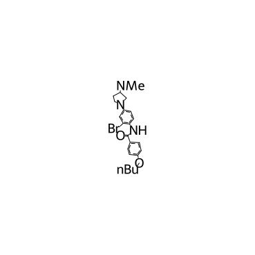 CCCCOc1ccc(C(=O)Nc2ccc(N3CCC(NC)C3)cc2Br)cc1